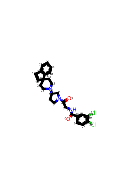 O=C(NCC(=O)N1CCC(N2CCC3(C=Cc4ccccc43)CC2)C1)c1ccc(Cl)c(Cl)c1